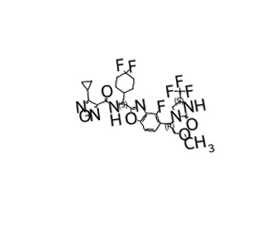 COC[C@@H](c1ccc2oc([C@@H](NC(=O)c3nonc3C3CC3)C3CCC(F)(F)CC3)nc2c1F)N1C[C@@H](C(F)(F)F)NC1=O